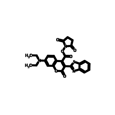 CCN(CC)c1ccc2c(C(=O)ON3C(=O)CCC3=O)c(-c3nc4ccccc4s3)c(=O)oc2c1